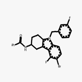 CC(C)C(=O)NC1CCc2c(c3c(F)c(Br)ccc3n2Cc2cccc(F)c2)C1